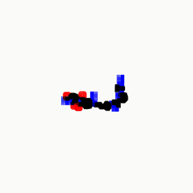 O=C1CCC(N2C(=O)c3ccc(NCCCC4CC(n5cc(-c6cccc(N7CCNC7)n6)cn5)C4)cc3C2=O)C(=O)N1